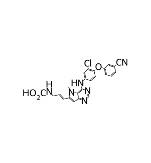 Cn1c(C=CCNC(=O)O)cc2ncnc(Nc3ccc(Oc4cccc(C#N)c4)c(Cl)c3)c21